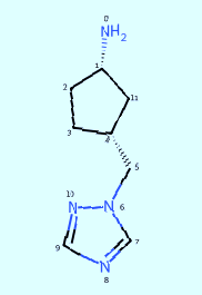 N[C@H]1CC[C@@H](Cn2cncn2)C1